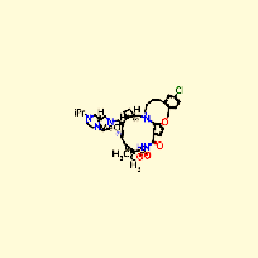 CO[C@@]1(CN2CCN3CCN(C(C)C)C[C@@H]3C2)/C=C/C[C@H](C)[C@@H](C)S(=O)(=O)NC(=O)c2ccc3c(c2)N(CCCCc2cc(Cl)ccc2CO3)C[C@@H]2CC[C@H]21